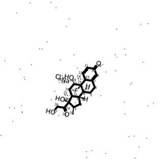 C[C@@H]1C[C@H]2[C@@H]3CCC4=CC(=O)C=C[C@]4(C)[C@@]3(F)[C@@H](O)C[C@]2(C)[C@@]1(O)C(=O)CO.[Cl-].[Na+]